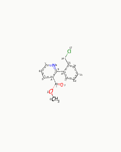 COC(=O)c1cccnc1-c1ccccc1CCl